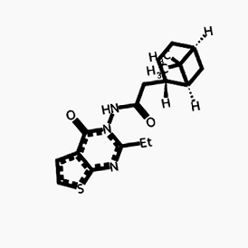 CCc1nc2sccc2c(=O)n1NC(=O)C[C@@H]1CC[C@H]2C[C@@H]1C2(C)C